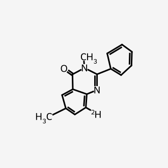 [2H]c1cc(C)cc2c(=O)n(C)c(-c3ccccc3)nc12